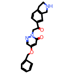 O=C(Cn1ncc(OCc2ccccc2)cc1=O)c1ccc2c(c1)CNCC2